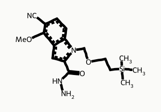 COc1c(C#N)ccc2c1cc(C(=O)NN)n2COCC[Si](C)(C)C